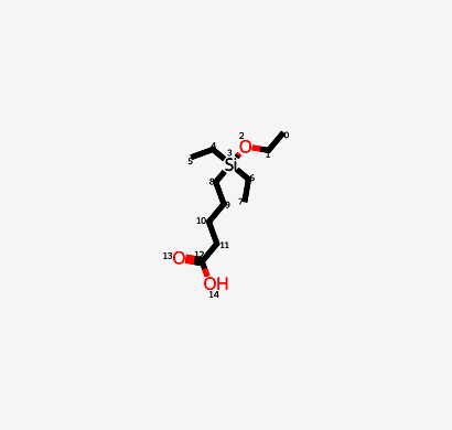 CCO[Si](CC)(CC)CCCCC(=O)O